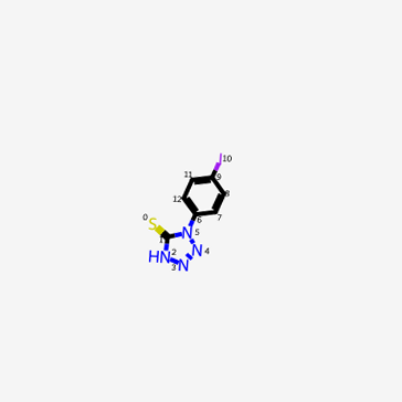 S=c1[nH]nnn1-c1ccc(I)cc1